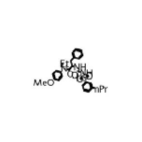 CCCc1cccc(S(=O)(=O)NC(=O)NC(Cc2ccccc2)C(=O)N(CC)c2ccc(OC)cc2)c1